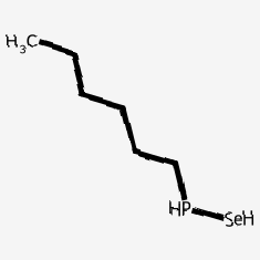 CCCCCCP[SeH]